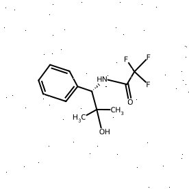 CC(C)(O)[C@@H](NC(=O)C(F)(F)F)c1ccccc1